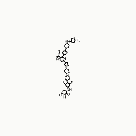 COc1ccc(NC2CCN(c3ccc(-c4nc(-c5cnn([C@H]6CC[C@@H](N7CCN(c8c(F)cc(NC9CCC(=O)NC9=O)cc8F)CC7)CC6)c5)cn5ncc(C#N)c45)cn3)CC2)cn1